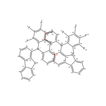 Fc1c(F)c(F)c(N(c2ccccc2-c2ccccc2N(c2c(F)c(F)c(F)c(F)c2F)c2cccc3c2oc2ccccc23)c2cccc3c2oc2ccccc23)c(F)c1F